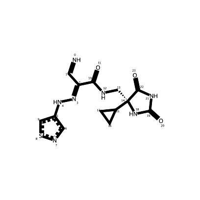 N=C/C(=N\Nc1cnsc1)C(=O)NC[C@@]1(C2CC2)NC(=O)NC1=O